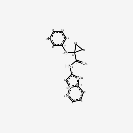 O=C(Nc1cn2ncccc2n1)C1(Sc2cccnc2)CC1